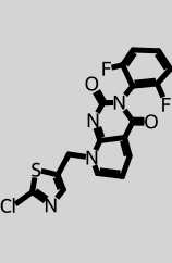 O=c1nc2n(Cc3cnc(Cl)s3)cccc-2c(=O)n1-c1c(F)cccc1F